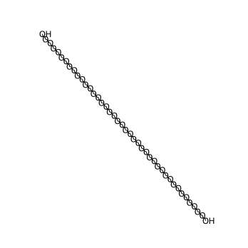 OCCOCCOCCOCCOCCOCCOCCOCCOCCOCCOCCOCCOCCOCCOCCOCCOCCOCCOCCOCCOCCOCCOCCOCCOCCOCCOCCOCCOCCOCCOCCOCCOCCOCCOCCOCCOCCOCCOCCOCCOCCO